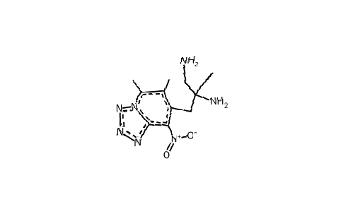 Cc1c(CC(C)(N)CN)c([N+](=O)[O-])c2nnnn2c1C